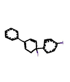 Ic1ccc(C2(I)C=CC(c3ccccc3)=CC2)cc1